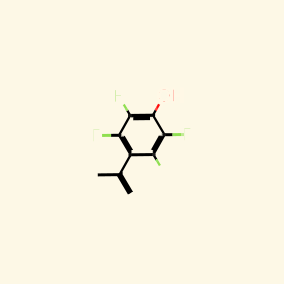 C=C(C)c1c(F)c(F)c(O)c(F)c1F